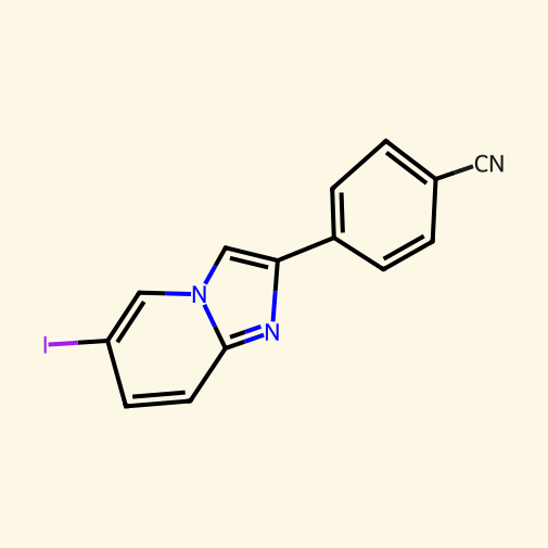 N#Cc1ccc(-c2cn3cc(I)ccc3n2)cc1